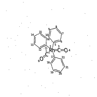 O=[C]=[Rh](=[C]=O)([c]1ccccc1)([c]1ccccc1)[c]1ccccc1